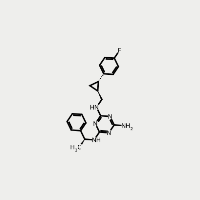 C[C@H](Nc1nc(N)nc(NC[C@H]2C[C@@H]2c2ccc(F)cc2)n1)c1ccccc1